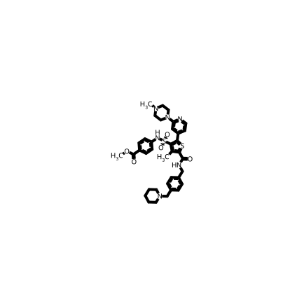 COC(=O)c1ccc(NS(=O)(=O)c2c(-c3ccnc(N4CCN(C)CC4)c3)sc(C(=O)NCc3ccc(CN4CCCCC4)cc3)c2C)cc1